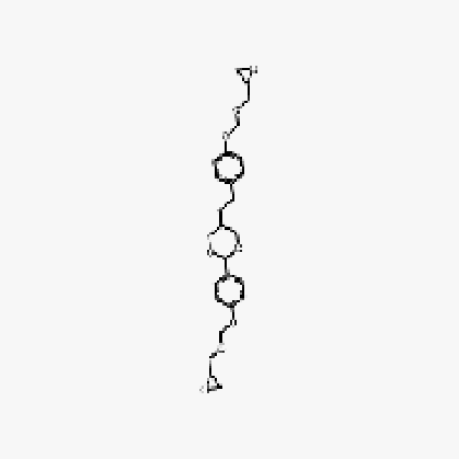 c1cc(OCOCC2CO2)ccc1CCC1COC(c2ccc(OCOCC3CO3)cc2)OC1